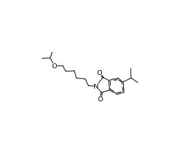 CC(C)OCCCCCCN1C(=O)c2ccc(C(C)C)cc2C1=O